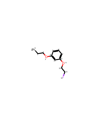 CC(C)CCOc1cccc(OCCI)c1